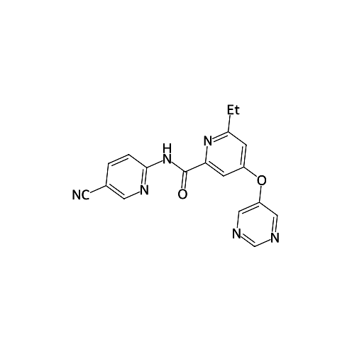 CCc1cc(Oc2cncnc2)cc(C(=O)Nc2ccc(C#N)cn2)n1